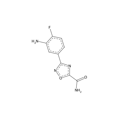 NC(=O)c1nc(-c2ccc(F)c(N)c2)no1